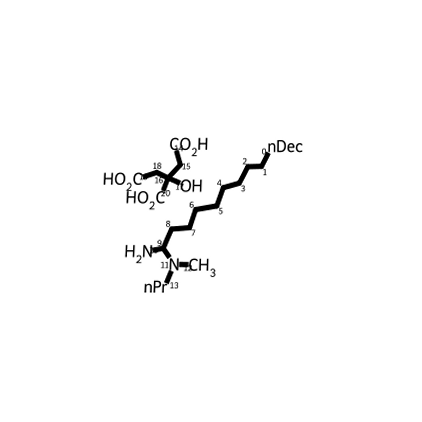 CCCCCCCCCCCCCCCCCCC(N)N(C)CCC.O=C(O)CC(O)(CC(=O)O)C(=O)O